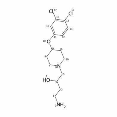 NCCC(O)CN1CCC(Oc2ccc(Cl)c(Cl)c2)CC1